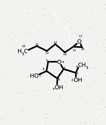 CC(O)C1OCC(O)C1O.CCCCCC1CO1